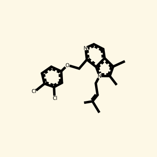 CC(C)=CCn1c(C)c(C)c2ccnc(COc3ccc(Cl)c(Cl)c3)c21